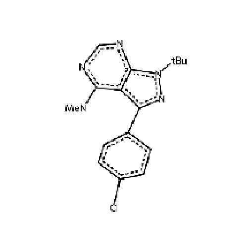 CNc1ncnc2c1c(-c1ccc(Cl)cc1)nn2C(C)(C)C